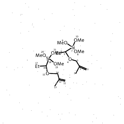 C=C(C)COC(CC)[Si](OC)(OC)OC.C=C(C)COC(CC)[Si](OC)(OC)OC